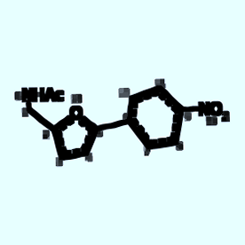 CC(=O)NCc1ccc(-c2ccc([N+](=O)[O-])cc2)o1